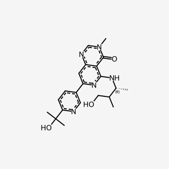 CC(CO)[C@@H](C)Nc1nc(-c2ccc(C(C)(C)O)nc2)cc2ncn(C)c(=O)c12